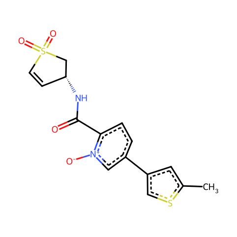 Cc1cc(-c2ccc(C(=O)N[C@@H]3C=CS(=O)(=O)C3)[n+]([O-])c2)cs1